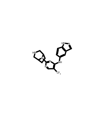 FC(F)(F)c1cnc(N2C3CCC2CNC3)nc1Nc1ccc2[nH]ncc2c1